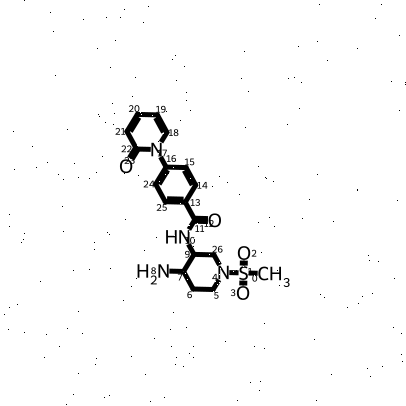 CS(=O)(=O)N1CCC(N)C(NC(=O)c2ccc(-n3ccccc3=O)cc2)C1